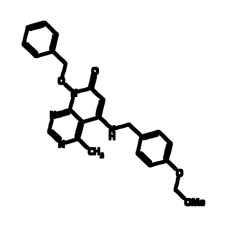 COCOc1ccc(CNc2cc(=O)n(OCc3ccccc3)c3ncnc(C)c23)cc1